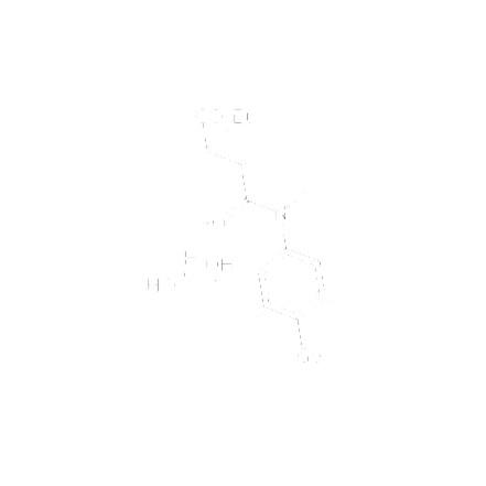 CCOC(=O)CCC(=O)N(C)c1cc[c]([Ge+3])cc1.[OH-].[OH-].[OH-]